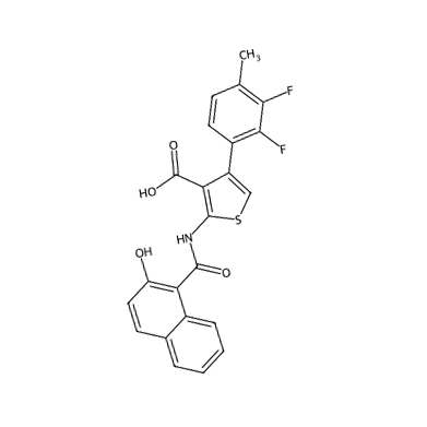 Cc1ccc(-c2csc(NC(=O)c3c(O)ccc4ccccc34)c2C(=O)O)c(F)c1F